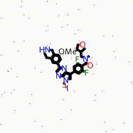 COc1cc(-c2cnc3c(n2)c(-c2cc(F)c(C(=O)N(C)CC4CCOC4)c(F)c2)cn3SI)cc2c1CNCC2